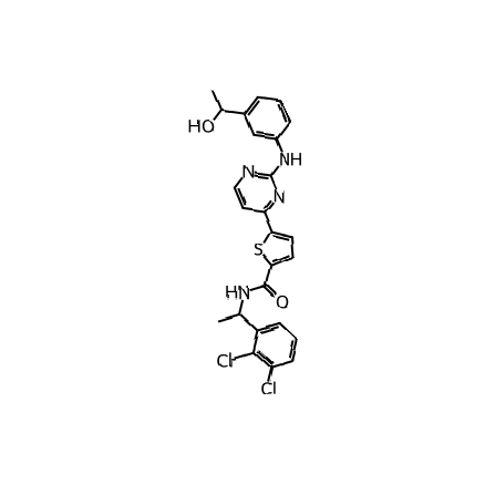 CC(O)c1cccc(Nc2nccc(-c3ccc(C(=O)NC(C)c4cccc(Cl)c4Cl)s3)n2)c1